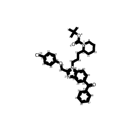 CC(C)(C)OC(=O)N1CCCCC1CCCn1c(COc2ccc(Cl)cc2)nc2cc(C(=O)c3ccccc3)ccc21